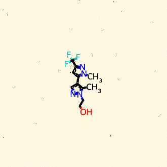 Cc1c(-c2[c]c(C(F)(F)F)nn2C)cnn1CCO